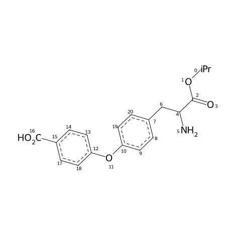 CC(C)OC(=O)C(N)Cc1ccc(Oc2ccc(C(=O)O)cc2)cc1